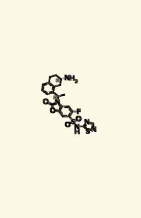 C[C@H](c1cccc2c1C[C@@H](N)CC2)n1c(=O)oc2cc(S(=O)(=O)Nc3ncns3)c(F)cc21